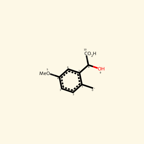 [CH2]c1ccc(OC)cc1C(O)C(=O)O